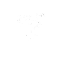 O=Cc1ccc(-c2ccccc2)cc1Oc1ccccc1